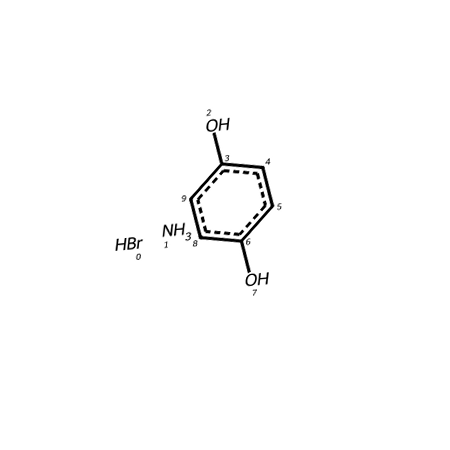 Br.N.Oc1ccc(O)cc1